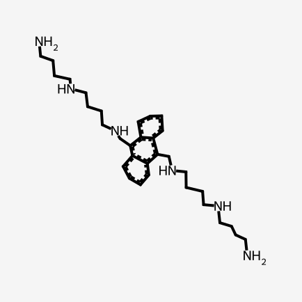 NCCCCNCCCCNCc1c2ccccc2c(CNCCCCNCCCCN)c2ccccc12